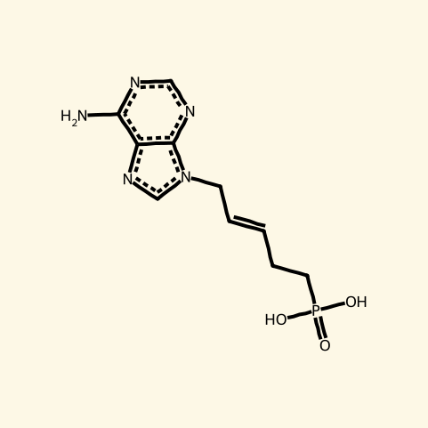 Nc1ncnc2c1ncn2CC=CCCP(=O)(O)O